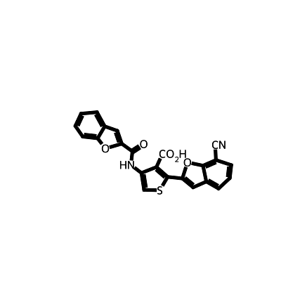 N#Cc1cccc2cc(-c3scc(NC(=O)c4cc5ccccc5o4)c3C(=O)O)oc12